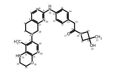 Cc1c(N2CCc3cnc(Nc4ccc(CC(=O)N5CC(C)(O)C5)cc4)nc3C2)cnc2c1NCCO2